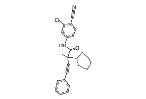 CC(C#Cc1ccccc1)(C(=O)Nc1ccc(C#N)c(Cl)c1)C1CCCCC1